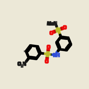 CNS(=O)(=O)c1cccc(NS(=O)(=O)c2cc[c]c([N+](=O)[O-])c2)c1